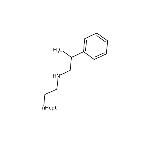 CCCCCCCCCNCC(C)c1ccccc1